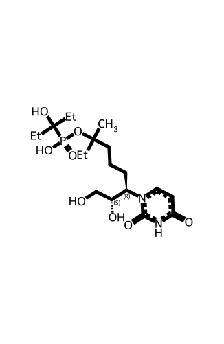 CCC(C)(CCC[C@H]([C@H](O)CO)n1ccc(=O)[nH]c1=O)OP(=O)(O)C(O)(CC)CC